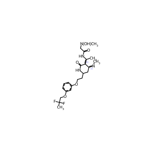 C/N=C1/CC(CCOc2cccc(OCC(C)(F)F)c2)NC(=O)/C1=C(/C)NC(=O)CN(C)O